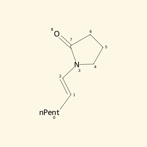 CCCCCC=CN1CCCC1=O